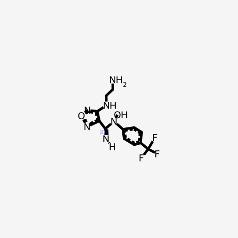 [H]/N=C(/c1nonc1NCCN)N(O)c1ccc(C(F)(F)F)cc1